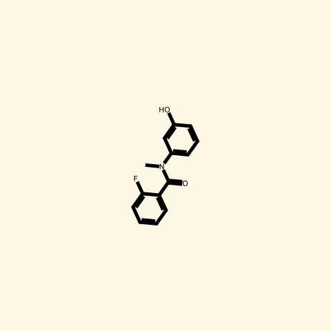 CN(C(=O)c1ccccc1F)c1cccc(O)c1